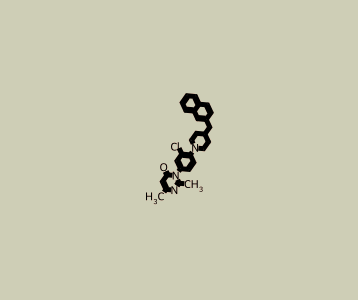 Cc1cc(=O)n(-c2ccc(N3CCC(Cc4ccc5ccccc5c4)CC3)c(Cl)c2)c(C)n1